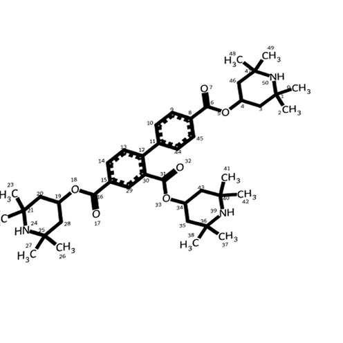 CC1(C)CC(OC(=O)c2ccc(-c3ccc(C(=O)OC4CC(C)(C)NC(C)(C)C4)cc3C(=O)OC3CC(C)(C)NC(C)(C)C3)cc2)CC(C)(C)N1